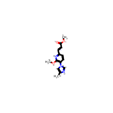 COC(=O)/C=C/c1ccc(-n2cnc(C)c2)c(OC)n1